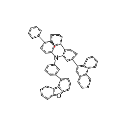 c1ccc(-c2ccc(N(c3cccc(-c4cccc5oc6ccccc6c45)c3)c3cc(-c4cc5ccccc5c5ccccc45)ccc3-c3ccccc3)cc2)cc1